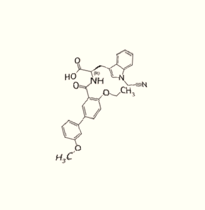 CCOc1ccc(-c2cccc(OC)c2)cc1C(=O)N[C@H](Cc1cn(CC#N)c2ccccc12)C(=O)O